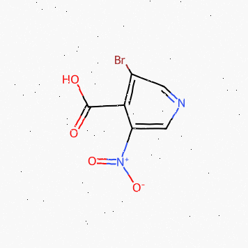 O=C(O)c1c(Br)cncc1[N+](=O)[O-]